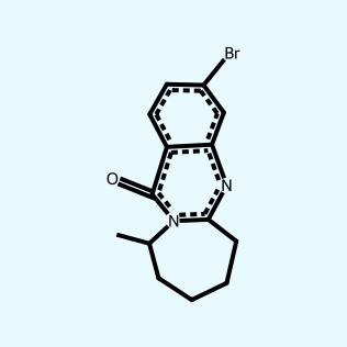 CC1CCCCc2nc3cc(Br)ccc3c(=O)n21